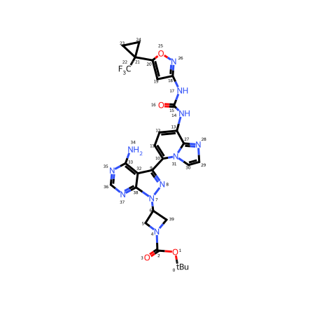 CC(C)(C)OC(=O)N1CC(n2nc(-c3ccc(NC(=O)Nc4cc(C5(C(F)(F)F)CC5)on4)c4nccn34)c3c(N)ncnc32)C1